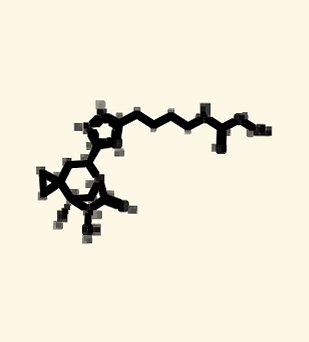 CC(C)(C)OC(=O)NCCCCc1nnc([C@@H]2CC3(CC3)[C@H]3CN2C(=O)N3O)o1